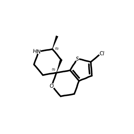 C[C@H]1C[C@]2(CCN1)OCCc1cc(Cl)sc12